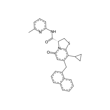 Cc1cccc(NC(=O)[C@@H]2CSc3c(C4CC4)c(Cc4cccc5ccccc45)cc(=O)n32)n1